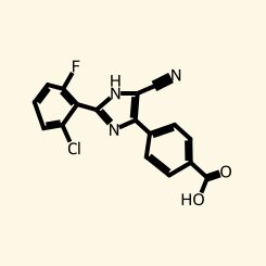 N#Cc1[nH]c(-c2c(F)cccc2Cl)nc1-c1ccc(C(=O)O)cc1